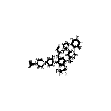 C=CC(=O)Nc1cc(Nc2cc(N3OCC[C@@H]3c3cc(F)cc(F)c3)ncn2)c(O[C@H](C)C(F)(F)F)cc1N1CCC(N2CCN(C3CC3)CC2)CC1